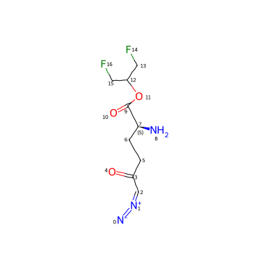 [N-]=[N+]=CC(=O)CC[C@H](N)C(=O)OC(CF)CF